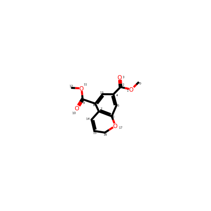 COC(=O)c1cc2c(c(C(=O)OC)c1)C=CCO2